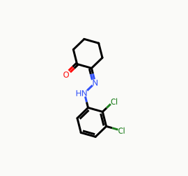 O=C1CCCC/C1=N/Nc1cccc(Cl)c1Cl